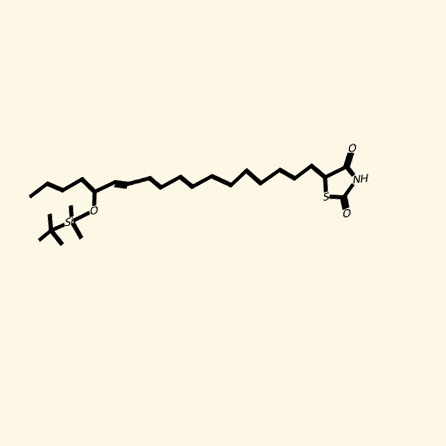 CCCCC(C=CCCCCCCCCCCCC1SC(=O)NC1=O)O[Si](C)(C)C(C)(C)C